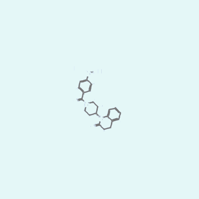 CN(C)c1ccc(C(=O)N2CCC(N3C(=O)CCc4ccccc43)CC2)cc1